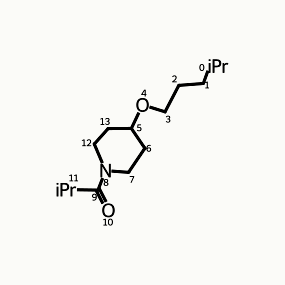 CC(C)CCCOC1CCN(C(=O)C(C)C)CC1